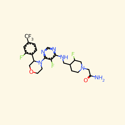 NC(=O)CN1CCC(CNc2ncnc(N3CCOCC3c3ccc(C(F)(F)F)cc3F)c2F)C(F)C1